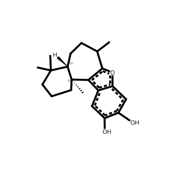 CC1CC[C@H]2C(C)(C)CCC[C@]2(C)c2c1oc1cc(O)c(O)cc21